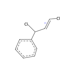 Cl/C=C/C(Cl)c1ccccc1